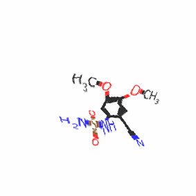 COc1cc(C#N)c(NS(N)(=O)=O)cc1OC